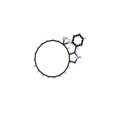 CC1(C)CCCCCCCCCCCCCCCC2CNC(c3ccccc3)C2C1